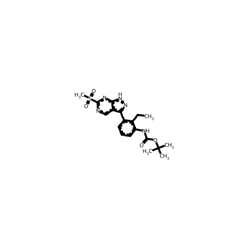 CCc1c(NC(=O)OC(C)(C)C)cccc1-c1n[nH]c2nc(S(C)(=O)=O)ncc12